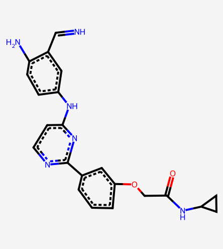 N=Cc1cc(Nc2ccnc(-c3cccc(OCC(=O)NC4CC4)c3)n2)ccc1N